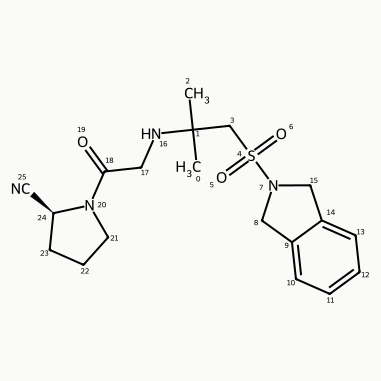 CC(C)(CS(=O)(=O)N1Cc2ccccc2C1)NCC(=O)N1CCC[C@H]1C#N